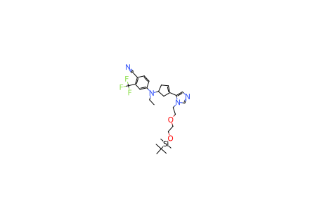 CCN(c1ccc(C#N)c(C(F)(F)F)c1)C1CC=C(c2cncn2CCOCCO[Si](C)(C)C(C)(C)C)C1